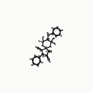 CC1(C)CC2(CC(C)(C)N1Oc1ccccc1)NC(=O)N(c1ccccc1)C2=O